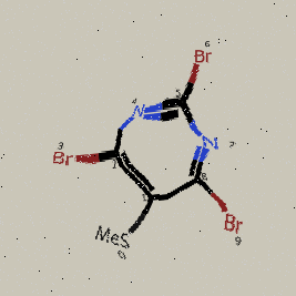 CSc1c(Br)nc(Br)nc1Br